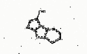 O=Cc1cnc2sc3ccccc3n12